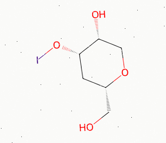 OC[C@@H]1C[C@H](OI)[C@H](O)CO1